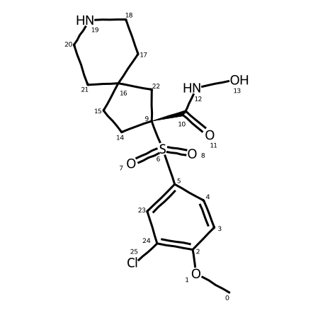 COc1ccc(S(=O)(=O)[C@]2(C(=O)NO)CCC3(CCNCC3)C2)cc1Cl